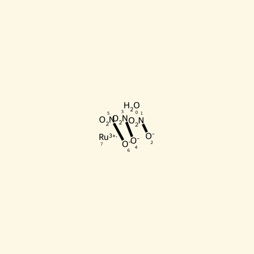 O.O=[N+]([O-])[O-].O=[N+]([O-])[O-].O=[N+]([O-])[O-].[Ru+3]